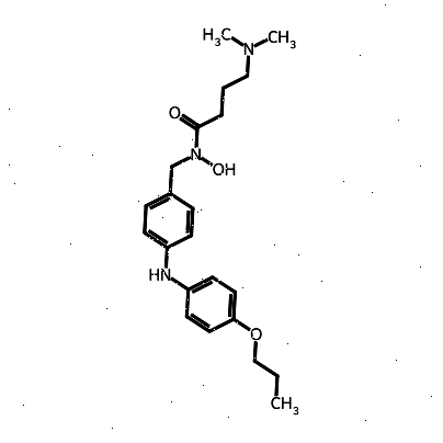 CCCOc1ccc(Nc2ccc(CN(O)C(=O)CCCN(C)C)cc2)cc1